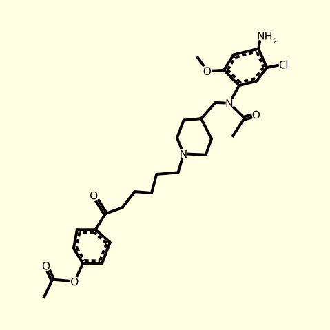 COc1cc(N)c(Cl)cc1N(CC1CCN(CCCCCC(=O)c2ccc(OC(C)=O)cc2)CC1)C(C)=O